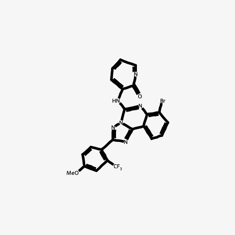 COc1ccc(-c2nc3c4cccc(Br)c4nc(Nc4ccccnc4=O)n3n2)c(C(F)(F)F)c1